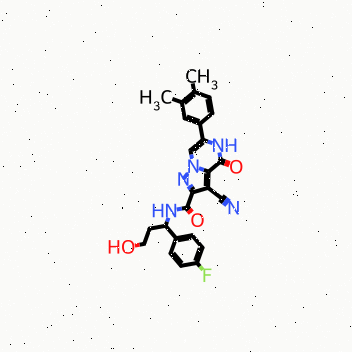 Cc1ccc(-c2cn3nc(C(=O)NC(CCO)c4ccc(F)cc4)c(C#N)c3c(=O)[nH]2)cc1C